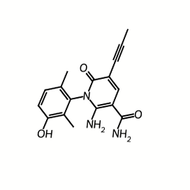 CC#Cc1cc(C(N)=O)c(N)n(-c2c(C)ccc(O)c2C)c1=O